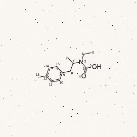 CCN(C(=O)O)C(C)Cc1ccc(C)cc1